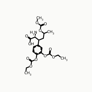 CCOC(=O)Oc1ccc(C(CC(C)OC(=O)OC)[C@H](N)C(=O)O)cc1OC(=O)OCC